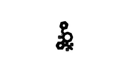 CS(=O)(=O)n1c2c(c3ccccc31)C(=O)[C@@H](Cc1ccccc1)CCCC2